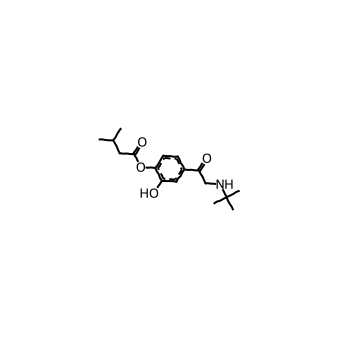 CC(C)CC(=O)Oc1ccc(C(=O)CNC(C)(C)C)cc1O